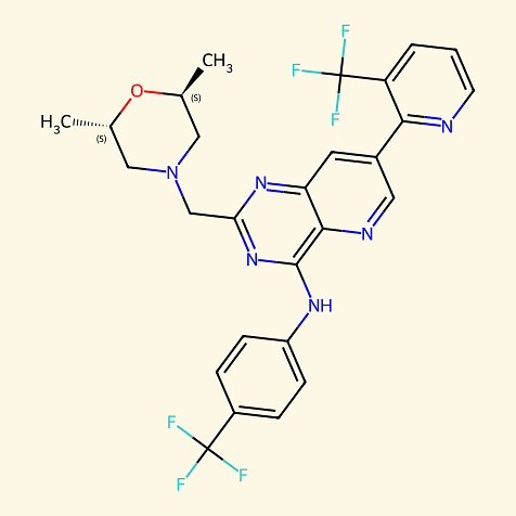 C[C@H]1CN(Cc2nc(Nc3ccc(C(F)(F)F)cc3)c3ncc(-c4ncccc4C(F)(F)F)cc3n2)C[C@H](C)O1